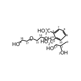 CC(O)CO.O=C(O)c1ccccc1C(=O)O.OCCOCCO